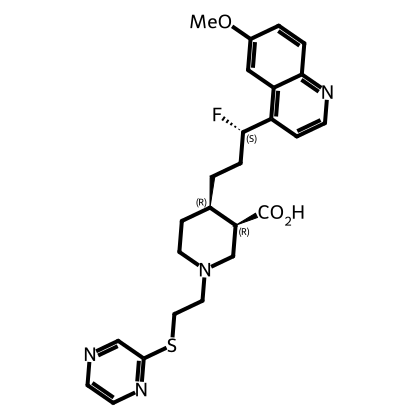 COc1ccc2nccc([C@@H](F)CC[C@@H]3CCN(CCSc4cnccn4)C[C@@H]3C(=O)O)c2c1